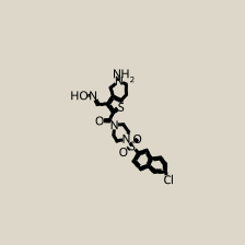 NN1CCc2sc(C(=O)N3CCN(S(=O)(=O)c4ccc5cc(Cl)ccc5c4)CC3)c(C=NO)c2C1